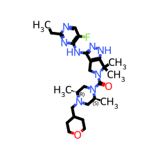 CCc1ncc(F)c(Nc2n[nH]c3c2CN(C(=O)N2C[C@@H](C)N(CC4CCOCC4)C[C@@H]2C)C3(C)C)n1